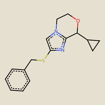 c1ccc(CSc2cn3c(n2)C(C2CC2)OCC3)cc1